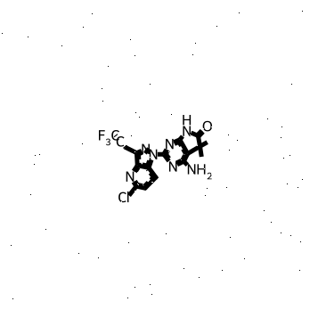 CC1(C)C(=O)Nc2nc(-n3nc(CCC(F)(F)F)c4nc(Cl)ccc43)nc(N)c21